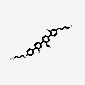 C/C=C/CCc1ccc(-c2ccc(-c3ccc(-c4ccc(OCCCO)cc4)c(F)c3)c(C=O)c2)c(F)c1